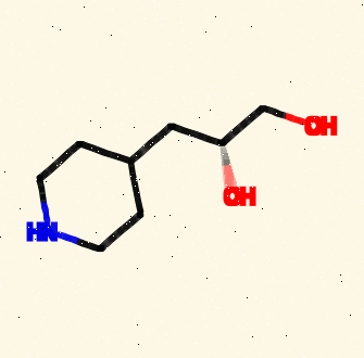 OC[C@H](O)CC1CCNCC1